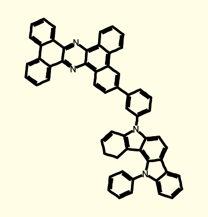 C1=Cc2c(c3c(ccc4c5ccccc5n(-c5ccccc5)c43)n2-c2cccc(-c3ccc4c(c3)c3ccccc3c3nc5c6ccccc6c6ccccc6c5nc43)c2)CC1